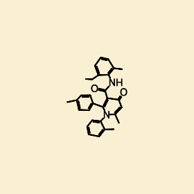 CCc1cccc(C)c1NC(=O)c1c(-c2ccc(C)cc2)n(-c2ccccc2C)c(C)cc1=O